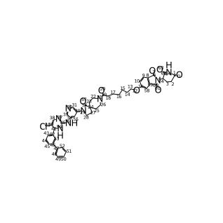 O=C1CCC(N2C(=O)c3ccc(OCCCCCCC(=O)N4CCC5(CC4)CCN(c4cncc(NC6=NC=C(Cl)C(c7cccc(-c8ccccc8)c7)N6)c4)C5=O)cc3C2=O)C(=O)N1